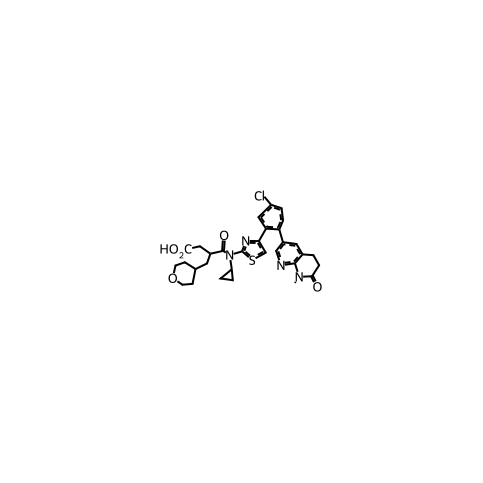 CN1C(=O)CCc2cc(-c3ccc(Cl)cc3-c3csc(N(C(=O)C(CC(=O)O)CC4CCOCC4)C4CC4)n3)cnc21